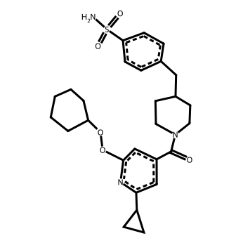 NS(=O)(=O)c1ccc(CC2CCN(C(=O)c3cc(OOC4CCCCC4)nc(C4CC4)c3)CC2)cc1